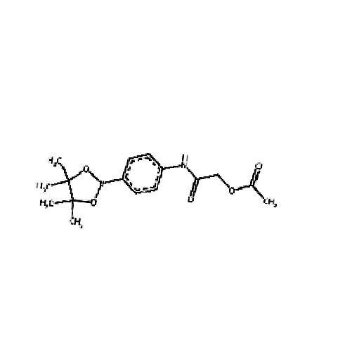 CC(=O)OCC(=O)Nc1ccc(B2OC(C)(C)C(C)(C)O2)cc1